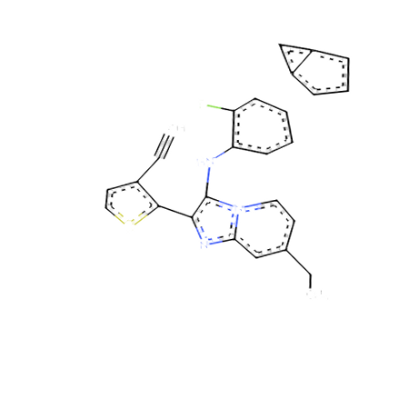 C#Cc1ccsc1-c1nc2cc(CC)ccn2c1Nc1ccccc1F.c1cc2cc-2c1